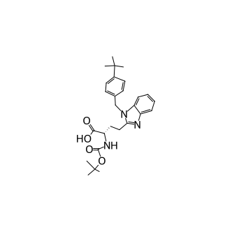 CC(C)(C)OC(=O)N[C@@H](CCc1nc2ccccc2n1Cc1ccc(C(C)(C)C)cc1)C(=O)O